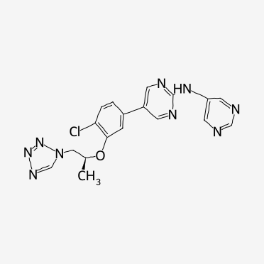 C[C@@H](Cn1cnnn1)Oc1cc(-c2cnc(Nc3cncnc3)nc2)ccc1Cl